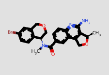 C[C@H]1OCc2c1c(N)nc1ccc(C(=O)N(C)[C@H]3COCc4cc(Br)ccc43)cc21